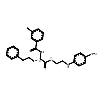 COc1ccc(NCCNC(=O)[C@H](CCCc2ccccc2)NC(=O)c2cccc(C)c2)cc1